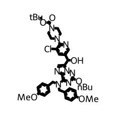 CCCCOc1nc(N(Cc2ccc(OC)cc2)Cc2ccc(OC)cc2)c2ncc(C(O)c3cnc(N4CCN(C(=O)OC(C)(C)C)CC4)c(Cl)c3)n2n1